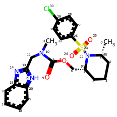 C[C@@H]1CCC[C@H](COC(=O)N(C)Cc2nc3ccccc3[nH]2)N1S(=O)(=O)c1ccc(Cl)cc1